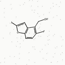 OCc1c(F)ccc2oc(I)cc12